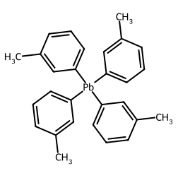 Cc1ccc[c]([Pb]([c]2cccc(C)c2)([c]2cccc(C)c2)[c]2cccc(C)c2)c1